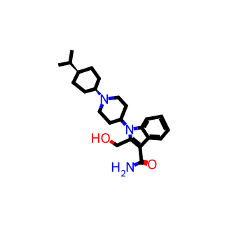 CC(C)[C@H]1CC[C@@H](N2CCC(n3c(CO)c(C(N)=O)c4ccccc43)CC2)CC1